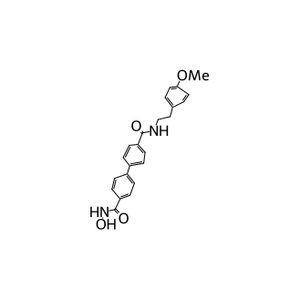 COc1ccc(CCNC(=O)c2ccc(-c3ccc(C(=O)NO)cc3)cc2)cc1